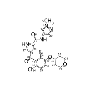 Cn1cc(NC(=O)c2cc(C(=O)c3c(Cl)ccc(OC4CCOCC4)c3F)c[nH]2)cn1